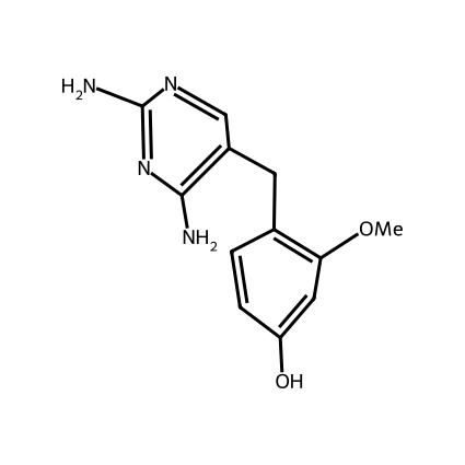 COc1cc(O)ccc1Cc1cnc(N)nc1N